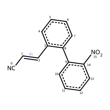 N#C/C=C/c1ccccc1-c1ccccc1[N+](=O)[O-]